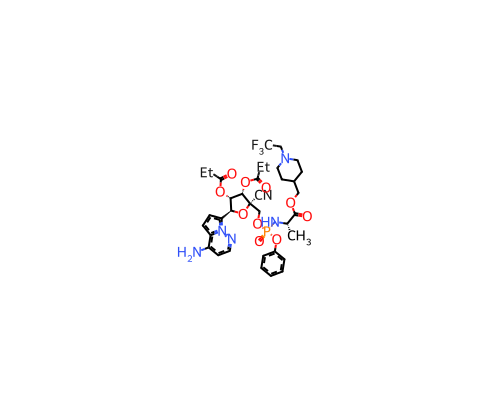 CCC(=O)O[C@H]1[C@H](c2ccc3c(N)ccnn23)O[C@](C#N)(CO[P@](=O)(N[C@@H](C)C(=O)OCC2CCN(CC(F)(F)F)CC2)Oc2ccccc2)[C@H]1OC(=O)CC